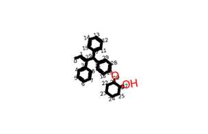 C/C=C(\c1ccccc1)C(c1ccccc1)c1ccc(OC2CCCCC2O)cc1